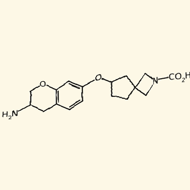 NC1COc2cc(OC3CCC4(C3)CN(C(=O)O)C4)ccc2C1